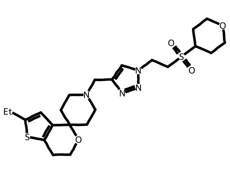 CCc1cc2c(s1)CCOC21CCN(Cc2cn(CCS(=O)(=O)C3CCOCC3)nn2)CC1